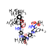 CCN(CCNS(C)(=O)=O)c1ccc(N=C(C(=O)Nc2ccc(NC(=O)COc3ccc(C(C)(C)CC)cc3C(C)(C)CC)cc2)C(=O)C(C)(C)C)cc1